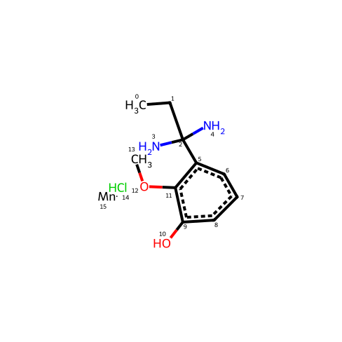 CCC(N)(N)c1cccc(O)c1OC.Cl.[Mn]